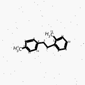 Cc1ccc(CCc2ccccc2C)cc1